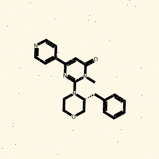 Cn1c(N2CCOC[C@H]2Cc2ccccc2)nc(-c2ccncc2)cc1=O